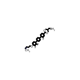 BCC1COC(c2ccc(-c3ccc(-c4ccc(OCC/C=C\C)c(F)c4F)cc3)c(F)c2)OC1